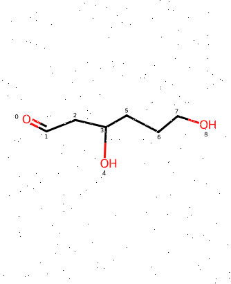 O=CCC(O)CCCO